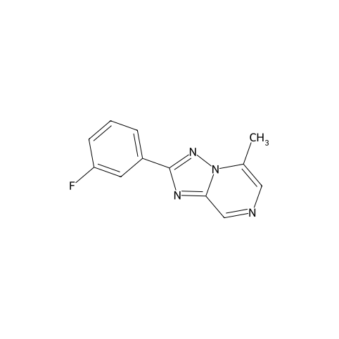 Cc1cncc2nc(-c3cccc(F)c3)nn12